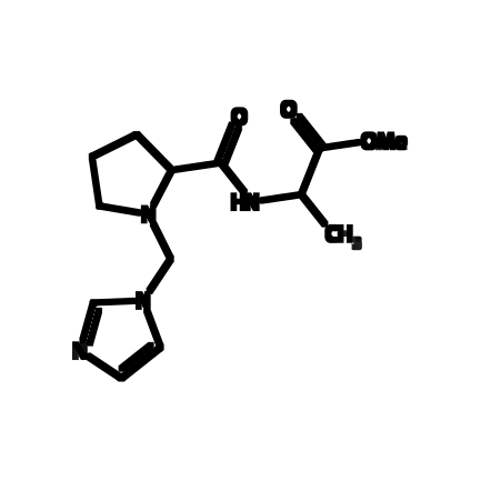 COC(=O)C(C)NC(=O)C1CCCN1Cn1ccnc1